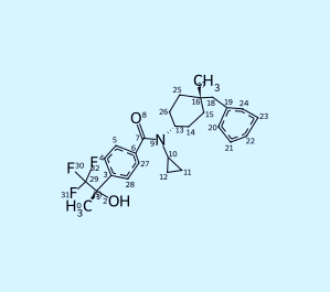 C[C@](O)(c1ccc(C(=O)N(C2CC2)[C@H]2CC[C@@](C)(Cc3ccccc3)CC2)cc1)C(F)(F)F